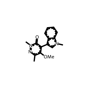 COc1c(C)nn(C)c(=O)c1-c1cn(C)c2ccccc12